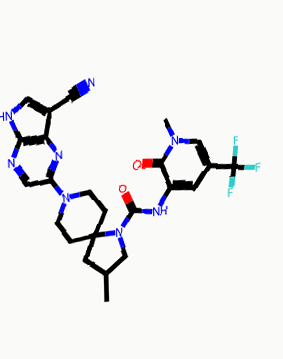 CC1CN(C(=O)Nc2cc(C(F)(F)F)cn(C)c2=O)C2(CCN(c3cnc4[nH]cc(C#N)c4n3)CC2)C1